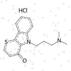 CN(C)CCCn1c2ccccc2c2sccc(=O)c21.Cl